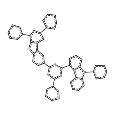 c1ccc(-c2cc(-c3ccccc3)c3oc4ccc(-c5nc(-c6ccccc6)nc(-c6cccc7c6c6ccccc6n7-c6ccccc6)n5)cc4c3c2)cc1